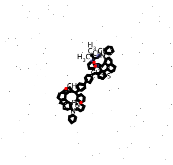 C=Cc1c2ccc3ccc4c(c13)-c1c(ccc3c1P(c1ccccc1C2c1ccc(-c2ccc(Cc5ccc6sc7ccc8ccc9c(c8c7c6c5Cc5ccccc5C)C/C=C/C=C(C(C)(C)C)\C=C(/C)N9c5ccccc5)cc2)cc1)[n+]1ccccc1N3c1ccccc1)C4